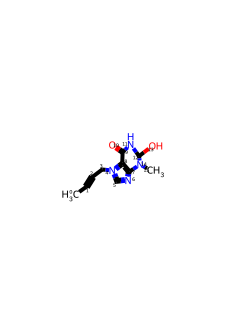 CC#CCn1cnc2c1C(=O)NC(O)N2C